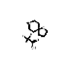 C1COC2(C1)CCNCC2.O=C(O)C(F)(F)F